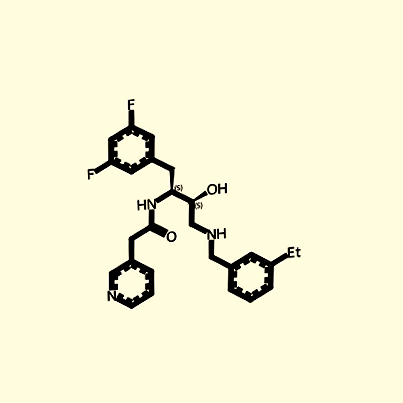 CCc1cccc(CNC[C@H](O)[C@H](Cc2cc(F)cc(F)c2)NC(=O)Cc2cccnc2)c1